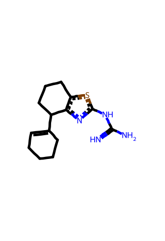 N=C(N)Nc1nc2c(s1)CCCC2C1=CCCCC1